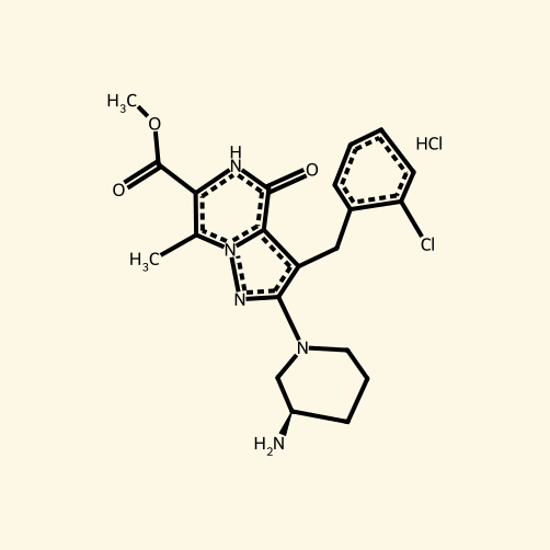 COC(=O)c1[nH]c(=O)c2c(Cc3ccccc3Cl)c(N3CCC[C@@H](N)C3)nn2c1C.Cl